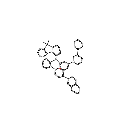 CC1(C)c2ccccc2-c2c(N(c3cccc(-c4cccc(-c5ccccc5)c4)c3)c3ccccc3-c3ccc(-c4ccc5ccccc5c4)cc3)cccc21